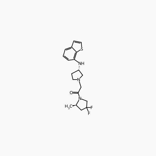 C[C@@H]1CC(F)(F)CN1C(=O)CN1CC[C@H](Nc2cccc3ccsc23)C1